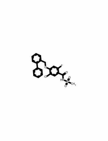 CS(=O)(=O)NC(=O)c1cc(Cl)c(OCc2ccccc2-c2ccccc2)cc1F